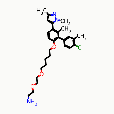 Cc1cc(-c2ccc(OCCCCCOCCOCCN)c(-c3ccc(Cl)c(C)c3)c2C)n(C)n1